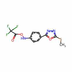 CSc1nnc(-c2ccc(NOC(=O)C(F)(F)F)cc2)o1